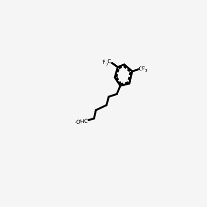 O=[C]CCCCCc1cc(C(F)(F)F)cc(C(F)(F)F)c1